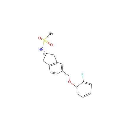 CC(C)S(=O)(=O)N[C@H]1Cc2ccc(COc3ccccc3F)cc2C1